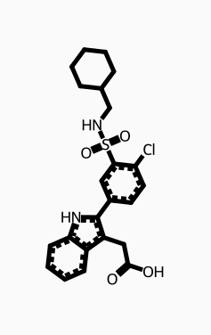 O=C(O)Cc1c(-c2ccc(Cl)c(S(=O)(=O)NCC3CCCCC3)c2)[nH]c2ccccc12